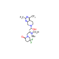 CC(C)(C)N(C(=O)O)[C@@H](CC(O)N1CCc2c(nc(C(F)(F)F)nc2C(F)(F)F)C1)CN1CC(F)(F)CCC1=O